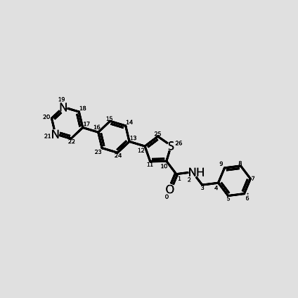 O=C(NCc1c[c]ccc1)c1cc(-c2ccc(-c3cncnc3)cc2)cs1